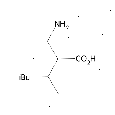 CCC(C)C(C)C(CN)C(=O)O